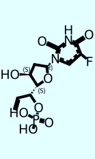 C=CC(OP(=O)(O)O)[C@H]1O[C@@H](n2cc(F)c(=O)[nH]c2=O)C[C@@H]1O